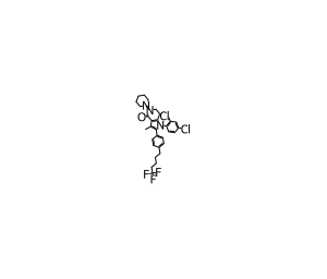 Cc1c2c(n(-c3ccc(Cl)cc3Cl)c1-c1ccc(CCCCC(F)(F)F)cc1)CCN(N1CCCCC1)C2=O